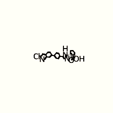 O=C(O)N1CCC[C@H]1c1ncc(-c2ccc(-c3ccc4cc(Cl)ncc4c3)cc2)[nH]1